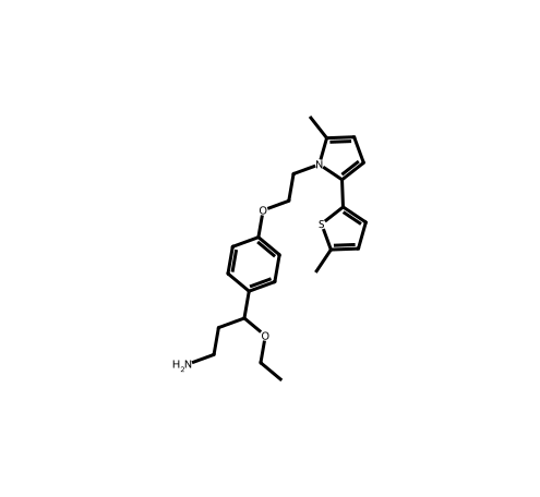 CCOC(CCN)c1ccc(OCCn2c(C)ccc2-c2ccc(C)s2)cc1